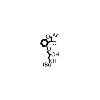 CC(=O)C1Oc2cccc(OCC(O)CNC(C)(C)C)c2C1=O